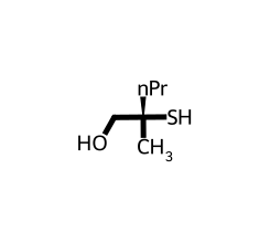 CCC[C@](C)(S)CO